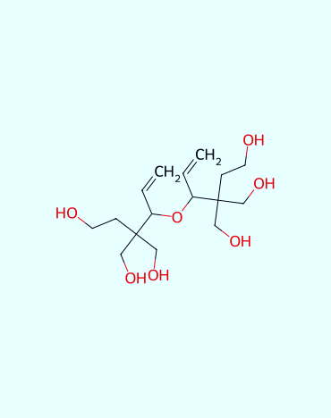 C=CC(OC(C=C)C(CO)(CO)CCO)C(CO)(CO)CCO